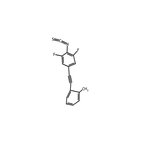 Cc1ccccc1C#Cc1cc(F)c(N=C=S)c(F)c1